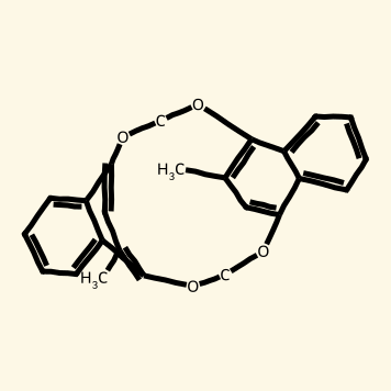 Cc1cc2c3ccccc3c1OCOc1cc(C)c(c3ccccc13)OCO2